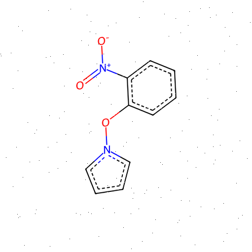 O=[N+]([O-])c1ccccc1On1cccc1